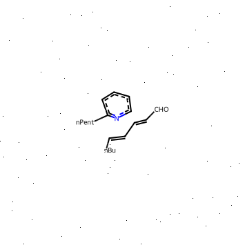 CCCCC=CC=CC=O.CCCCCc1ccccn1